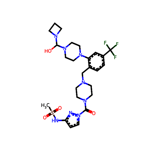 CS(=O)(=O)Nc1ccn(C(=O)N2CCN(Cc3ccc(C(F)(F)F)cc3N3CCN(C(O)N4CCC4)CC3)CC2)n1